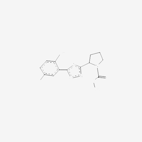 Cc1ccc(C)c(-c2nc(C3CCCN3C(=O)OC(C)(C)C)no2)c1